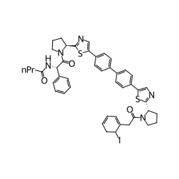 CCCC(=O)N[C@H](C(=O)N1CCC[C@H]1c1ncc(-c2ccc(-c3ccc(-c4cnc([C@@H]5CCCN5C(=O)CC5=CC=CCC5I)s4)cc3)cc2)s1)c1ccccc1